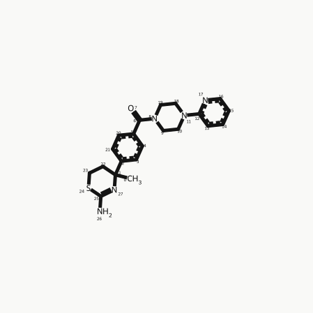 CC1(c2ccc(C(=O)N3CCN(c4ccccn4)CC3)cc2)CCSC(N)=N1